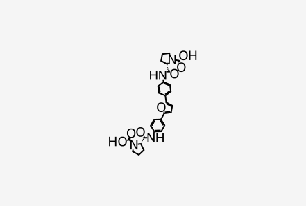 O=C(Nc1ccc(-c2ccc(-c3ccc(NC(=O)[C@@H]4CCCN4C(=O)O)cc3)o2)cc1)[C@@H]1CCCN1C(=O)O